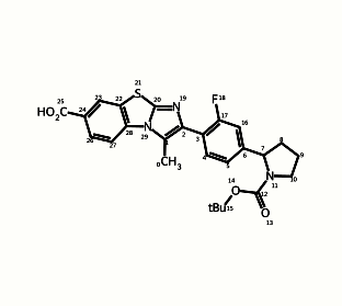 Cc1c(-c2ccc(C3CCCN3C(=O)OC(C)(C)C)cc2F)nc2sc3cc(C(=O)O)ccc3n12